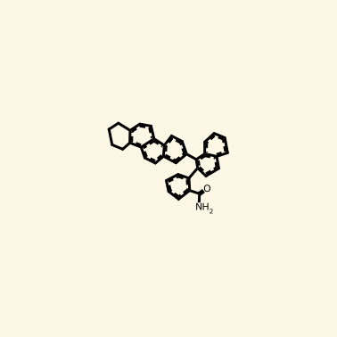 NC(=O)c1ccccc1-c1ccc2ccccc2c1-c1ccc2c(ccc3c4c(ccc32)CCCC4)c1